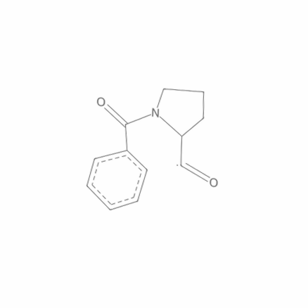 O=[C]C1CCCN1C(=O)c1ccccc1